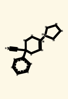 N#CC1(c2ccccc2)CC=C(N2CCCC2)CC1